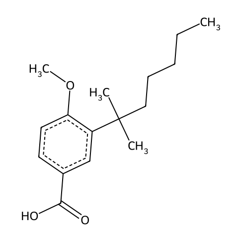 CCCCCC(C)(C)c1cc(C(=O)O)ccc1OC